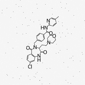 Cc1ccc(NC(=O)c2ccc(CN3C(=O)c4ccc(Cl)cc4NC(=O)C3CCN3CCOCC3)cc2)nc1